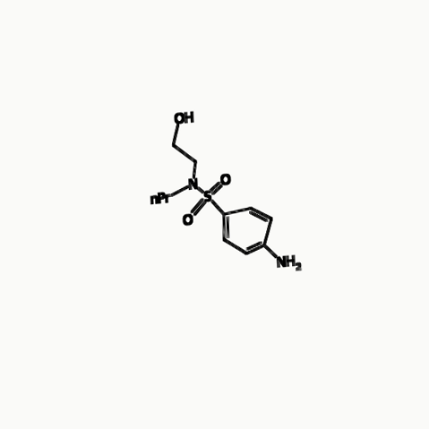 CCCN(CCO)S(=O)(=O)c1ccc(N)cc1